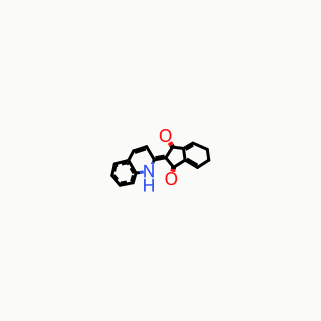 O=C1C2=CCCC=C2C(=O)C1=C1C=Cc2ccccc2N1